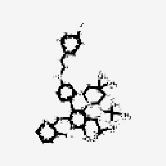 Cc1nc(Nc2ncccc2F)c(-c2ccc(OCCc3ccc(F)cc3)cc2)c(N2CCC(C)(C)CC2)c1[C@H](OC(C)(C)C)C(=O)O